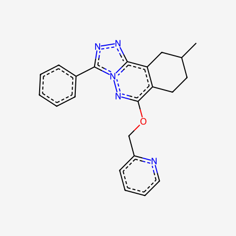 CC1CCc2c(OCc3ccccn3)nn3c(-c4ccccc4)nnc3c2C1